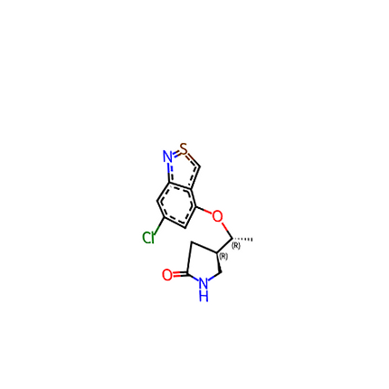 C[C@@H](Oc1cc(Cl)cc2nscc12)[C@H]1CNC(=O)C1